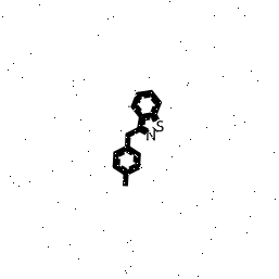 Cc1ccc(Cc2nsc3ccc[c]c23)cc1